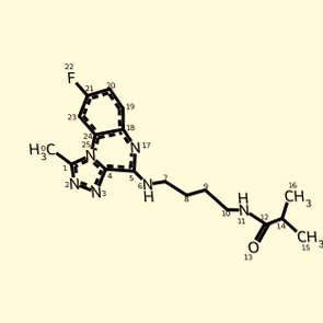 Cc1nnc2c(NCCCCNC(=O)C(C)C)nc3ccc(F)cc3n12